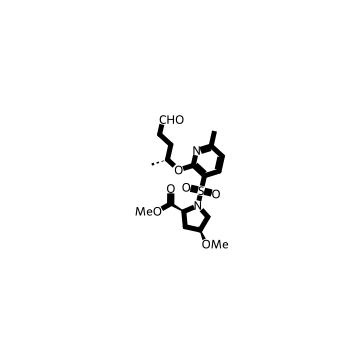 COC(=O)[C@@H]1C[C@H](OC)CN1S(=O)(=O)c1ccc(C)nc1O[C@H](C)CCC=O